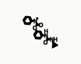 CN(C(=O)Oc1cccc(NC(=O)NC2CC2)c1)c1ccccc1